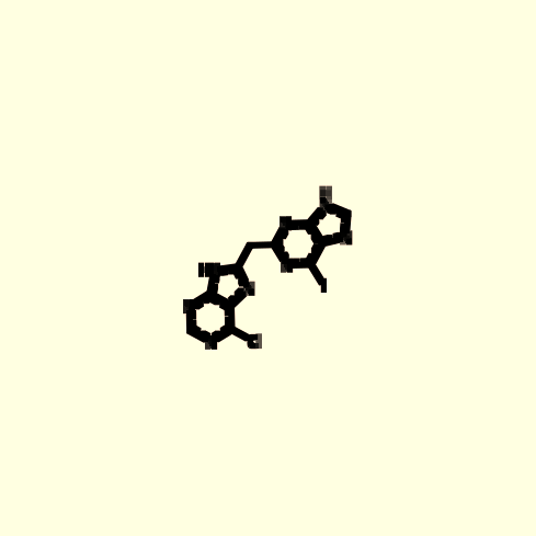 Clc1ncnc2[nH]c(Cc3nc(I)c4nc[nH]c4n3)nc12